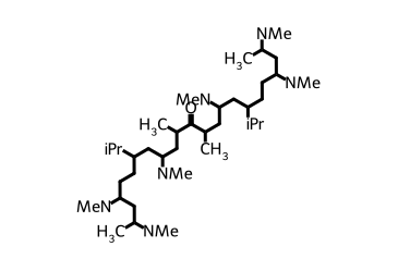 CNC(C)CC(CCC(CC(CC(C)C(=O)C(C)CC(CC(CCC(CC(C)NC)NC)C(C)C)NC)NC)C(C)C)NC